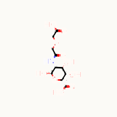 O=C(O)COCC(=O)N[C@@H]1[C@@H](O)[C@H](O)[C@H](C(=O)O)O[C@H]1O